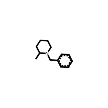 CC1CCCCN1Cc1c[c]ccc1